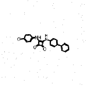 O=c1c(Nc2ccc(Cl)cc2)c(Nc2ccc(-c3ccccc3)cc2)c1=O